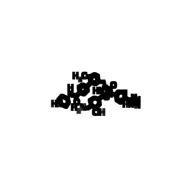 Cc1ccc(C[C@H](NC(=O)C2CCC(CN)CC2)C(=O)Nc2ccc(-c3nnn[nH]3)cc2)cc1-c1ccc(C(=O)NC2CCNCC2)cc1.Cl